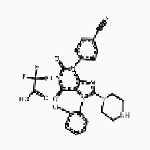 N#Cc1ccc(-n2c(=O)[nH]c(=O)c3c2nc(N2CCNCC2)n3-c2ccccc2Cl)cc1.O=C(O)C(F)(F)F